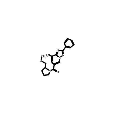 COCC1CCCN1C(=O)c1cc(N)c2nc(-c3ccccc3)nn2c1